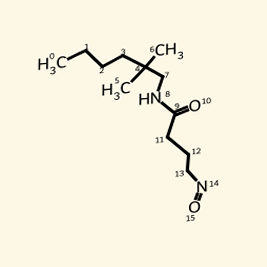 CCCCC(C)(C)CNC(=O)CCCN=O